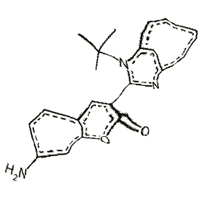 CC(C)(C)n1c(-c2cc3ccc(N)cc3oc2=O)nc2ccccc21